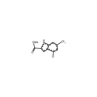 COC(=O)c1cc2c(Cl)cc(C(F)(F)F)cc2[nH]1